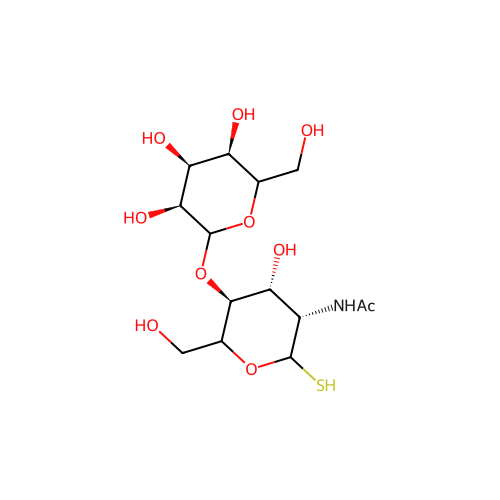 CC(=O)N[C@@H]1C(S)OC(CO)[C@@H](OC2OC(CO)[C@H](O)[C@H](O)[C@@H]2O)[C@@H]1O